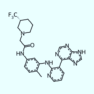 Cc1ccc(NC(=O)CN2CCC[C@@H](C(F)(F)F)C2)cc1Nc1ncccc1-c1ncnc2[nH]cnc12